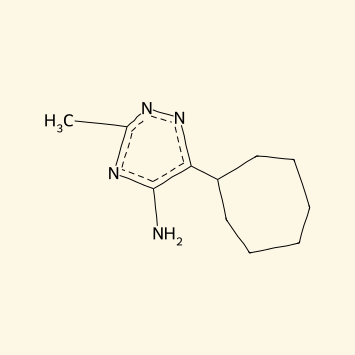 Cc1nnc(C2CCCCCC2)c(N)n1